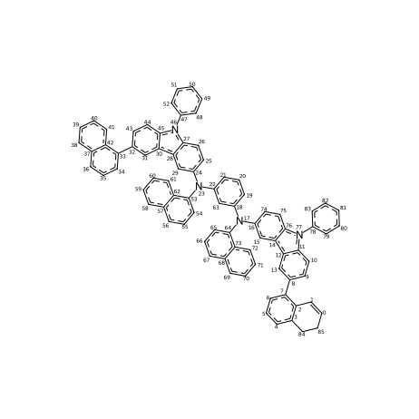 C1=Cc2c(cccc2-c2ccc3c(c2)c2cc(N(c4cccc(N(c5ccc6c(c5)c5cc(-c7cccc8ccccc78)ccc5n6-c5ccccc5)c5cccc6ccccc56)c4)c4cccc5ccccc45)ccc2n3-c2ccccc2)CC1